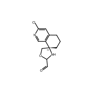 O=CC1N[C@]2(CCCc3cc(Cl)ncc32)CO1